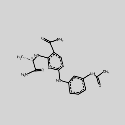 CC(=O)Nc1cccc(Nc2ncc(C(N)=O)c(N[C@@H](C)C(N)=O)n2)c1